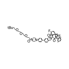 CC(C)(C)CCOCCOCCOCCC(=O)N1CCN(c2ccc(-c3ccc4c(c3)C(O)N(C(C(=O)Nc3nccs3)c3cc(F)ccc3O)C4)cc2)CC1